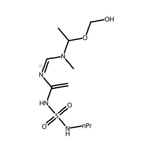 C=C(/N=C\N(C)C(C)OCO)NS(=O)(=O)NCCC